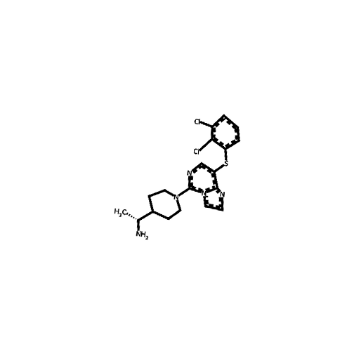 C[C@@H](N)C1CCN(c2ncc(Sc3cccc(Cl)c3Cl)c3nccn23)CC1